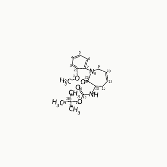 COc1ccccc1N1CC=CCC(NC(=O)OC(C)(C)C)C1=O